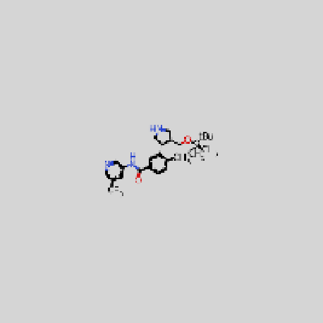 Cc1ccc(C(=O)Nc2cncc(C(F)(F)F)c2)cc1[C@@H]1CNC[C@H]1CO[Si](C)(C)C(C)(C)C